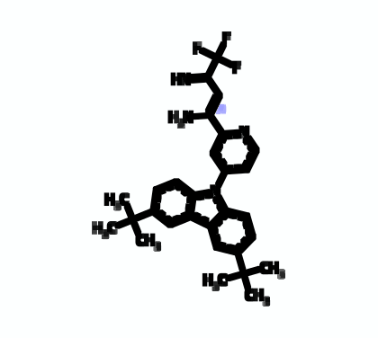 CC(C)(C)c1ccc2c(c1)c1cc(C(C)(C)C)ccc1n2-c1ccnc(/C(N)=C/C(=N)C(F)(F)F)c1